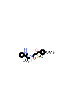 COc1ccc(C(=O)C(CC(=O)N[C@@H](Cc2c[nH]c3ccccc23)C(=O)O)SC(C)=O)cc1